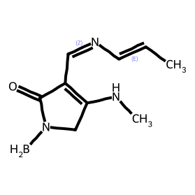 BN1CC(NC)=C(/C=N\C=C\C)C1=O